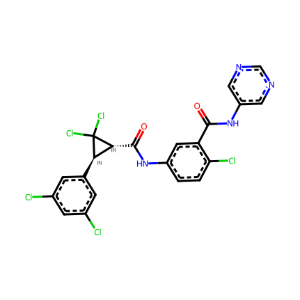 O=C(Nc1cncnc1)c1cc(NC(=O)[C@@H]2[C@@H](c3cc(Cl)cc(Cl)c3)C2(Cl)Cl)ccc1Cl